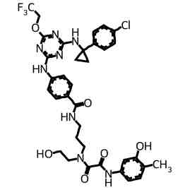 Cc1ccc(NC(=O)C(=O)N(CCO)CCCNC(=O)c2ccc(Nc3nc(NC4(c5ccc(Cl)cc5)CC4)nc(OCC(F)(F)F)n3)cc2)cc1O